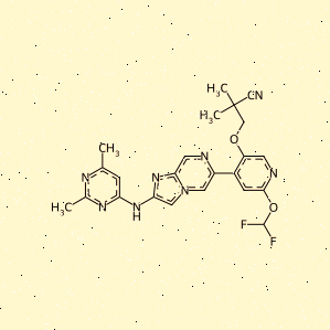 Cc1cc(Nc2cn3cc(-c4cc(OC(F)F)ncc4OCC(C)(C)C#N)ncc3n2)nc(C)n1